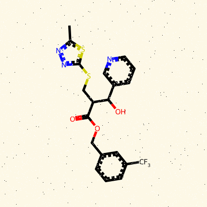 Cc1nnc(SCC(C(=O)OCc2cccc(C(F)(F)F)c2)C(O)c2cccnc2)s1